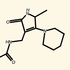 CC(C)C(=O)NCC1=C(N2CCCCC2)C(C)NC1=O